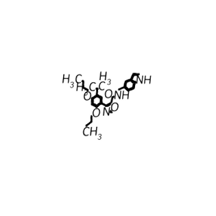 CCCCOc1cc(OCCCC)c(C(C)C)cc1-c1ncoc1C(=O)NCc1ccc2[nH]ccc2c1